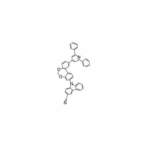 N#Cc1ccc2c(c1)c1ccccc1n2-c1ccc2c(c1)OCOc1ccc(-c3cc(-c4ccccc4)nc(-c4ccccc4)c3)cc1-2